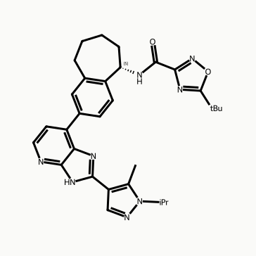 Cc1c(-c2nc3c(-c4ccc5c(c4)CCCC[C@@H]5NC(=O)c4noc(C(C)(C)C)n4)ccnc3[nH]2)cnn1C(C)C